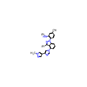 CC(C)Nc1cc(C#N)ccc1-n1nc(C(C)C)c2c(-n3cnc(-c4cnn(C)c4)c3)cccc21